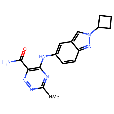 CNc1nnc(C(N)=O)c(Nc2ccc3nn(C4CCC4)cc3c2)n1